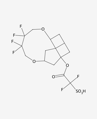 O=C(OC12CC3CC14C(CC4OCC(F)(F)C(F)(F)CO3)C2)C(F)(F)S(=O)(=O)O